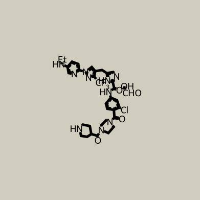 CCNc1ccc(-n2cc(Cc3cnc(C(=O)Nc4ccc(C(=O)N5CCN(C(=O)C6CCNCC6)CC5)c(Cl)c4)[nH]3)c(C(F)(F)F)n2)nc1.O=CO